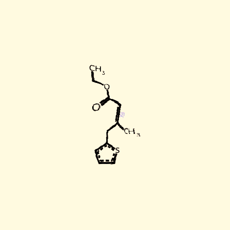 CCOC(=O)/C=C(/C)Cc1cccs1